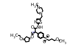 CCO[C@@H]1CC[C@@H](O/N=C(/C(=O)Nc2ncc(CN3CCN(C)CC3)s2)c2ccc(S(=O)(=O)CCCOC)cc2)C1